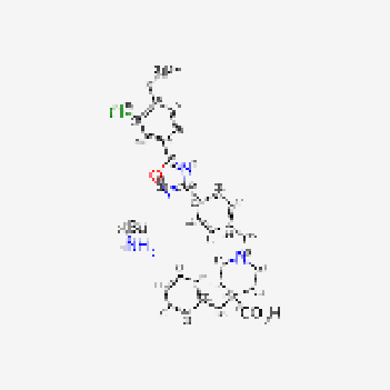 CC(C)(C)N.CC(C)Cc1ccc(-c2nc(-c3ccc(CN4CCC(Cc5ccccc5)(C(=O)O)CC4)cc3)no2)cc1Cl